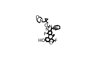 C#Cc1c(F)ccc2cc(O)cc(-c3c(C)cc4c(N5CC6CCC(C5)N6)nc(OCC5(CN6CCCOCC6)CC5)nc4c3F)c12